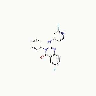 O=c1c2cc(F)ccc2nc(Nc2ccnc(F)c2)n1-c1ccccc1